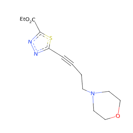 CCOC(=O)c1nnc(C#CCCN2CCOCC2)s1